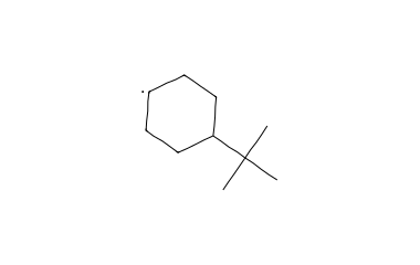 CC(C)(C)C1CC[CH]CC1